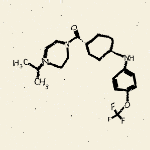 CC(C)N1CCN(C(=O)[C@H]2CC[C@H](Nc3ccc(OC(F)(F)F)cc3)CC2)CC1